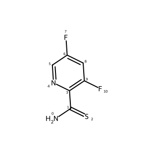 NC(=S)c1ncc(F)cc1F